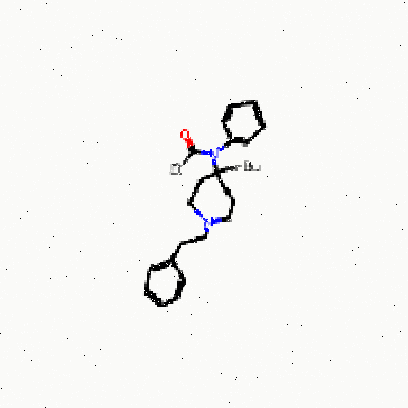 CCCCC1(N(C(=O)CC)c2ccccc2)CCN(CCc2ccccc2)CC1